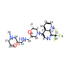 C[C@@H]1CN(c2cnc(C(F)(F)F)c3ncccc23)C[C@H](CNCC2CN(C)CCO2)O1